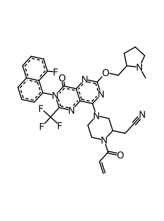 C=CC(=O)N1CCN(c2nc(OCC3CCCN3C)nc3c(=O)n(-c4cccc5cccc(F)c45)c(C(F)(F)F)nc23)CC1CC#N